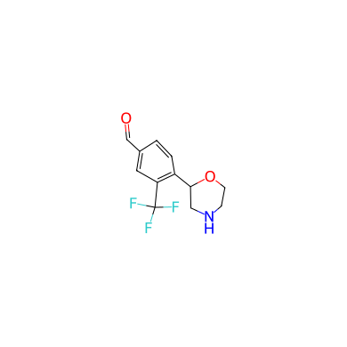 O=Cc1ccc(C2CNCCO2)c(C(F)(F)F)c1